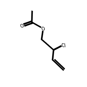 C=CC(Cl)COC(C)=O